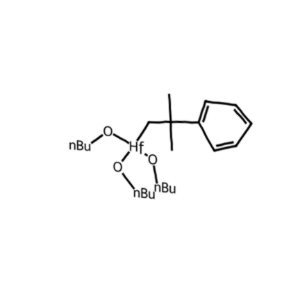 CCCC[O][Hf]([CH2]C(C)(C)c1ccccc1)([O]CCCC)[O]CCCC